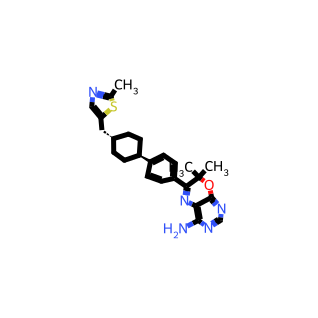 Cc1ncc(C[C@H]2CC[C@H](c3ccc(C4=Nc5c(N)ncnc5OC4(C)C)cc3)CC2)s1